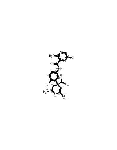 Cc1ncc(Cl)nc1C(=O)Nc1ccc(F)c([C@@]2(C(F)F)C[C@@H](N)OC(N)=N2)c1